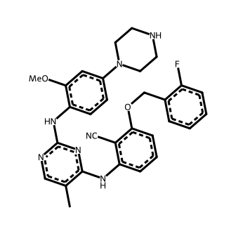 COc1cc(N2CCNCC2)ccc1Nc1ncc(C)c(Nc2cccc(OCc3ccccc3F)c2C#N)n1